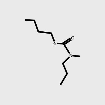 CCCC[N]C(=O)N(C)CCC